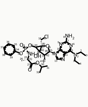 CCN(CC)c1nc(N)nc2c1ncn2[C@@H]1O[C@]2(CCl)C(OP(=O)(N[C@@H](C)C(=O)OC(C)C)Oc3ccccc3)[C@]2(O)[C@@H]1F